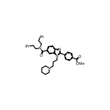 COC(=O)c1ccc(-c2nc3ccc(C(=O)N(CCC(C)C)CCC(C)C)cc3n2CCCN2CCCCC2)cc1